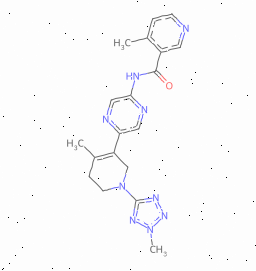 CC1=C(c2cnc(NC(=O)c3cnccc3C)cn2)CN(c2nnn(C)n2)CC1